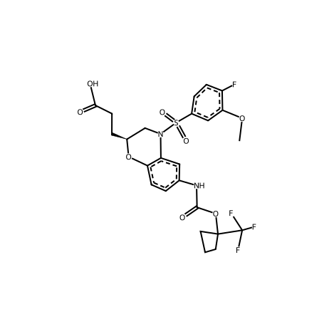 COc1cc(S(=O)(=O)N2C[C@H](CCC(=O)O)Oc3ccc(NC(=O)OC4(C(F)(F)F)CCC4)cc32)ccc1F